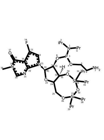 CC(C)N(C(C)C)P(OCCN)O[C@@H]1[C@H](n2cc(F)c3c(=O)n(C)cnc32)OC2CO[Si](C(C)C)(C(C)C)O[Si](C(C)C)(C(C)C)O[C@@H]21